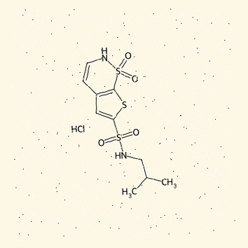 CC(C)CNS(=O)(=O)c1cc2c(s1)S(=O)(=O)NC=C2.Cl